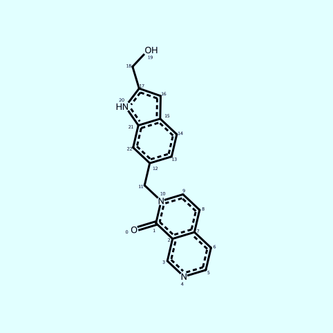 O=c1c2cnccc2ccn1Cc1ccc2cc(CO)[nH]c2c1